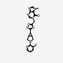 Cn1cnc2ncn(Cc3nc(C4C5CN(c6ncccc6F)CC54)no3)c(=O)c21